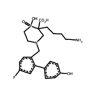 NCCCCC1(C(=O)O)CN(Cc2ccc(F)cc2-c2ccc(O)cc2)CCP1(=O)O